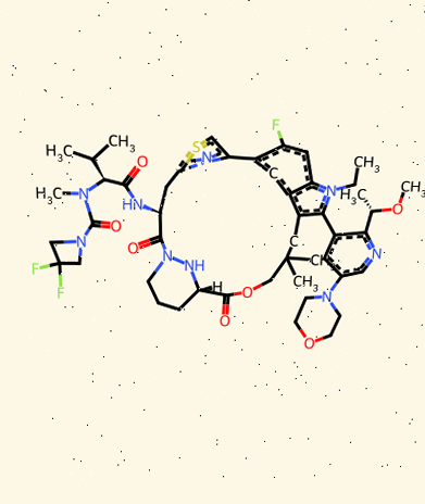 CCn1c(-c2cc(N3CCOCC3)cnc2[C@H](C)OC)c2c3cc(c(F)cc31)-c1csc(n1)C[C@H](NC(=O)[C@H](C(C)C)N(C)C(=O)N1CC(F)(F)C1)C(=O)N1CCC[C@H](N1)C(=O)OCC(C)(C)C2